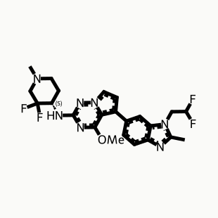 COc1nc(N[C@H]2CCN(C)CC2(F)F)nn2ccc(-c3ccc4nc(C)n(CC(F)F)c4c3)c12